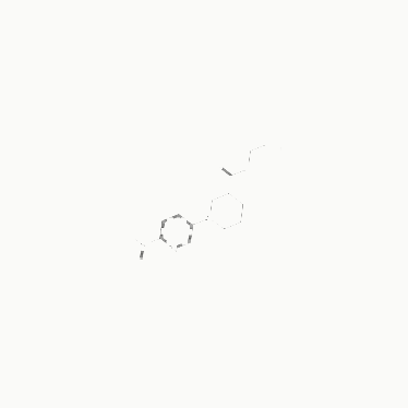 CCOC(=O)[C@@H]1CCCN(c2ccc([N+](=O)[O-])nc2)C1